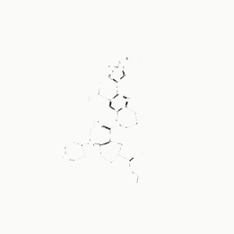 CCOC(=O)C1CCC(NC2CCOCC2)=C(C(=N)N2CCCc3cc(-c4cnn(C)c4)c(C(F)F)cc32)C1